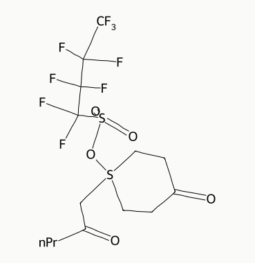 CCCC(=O)CS1(OS(=O)(=O)C(F)(F)C(F)(F)C(F)(F)C(F)(F)F)CCC(=O)CC1